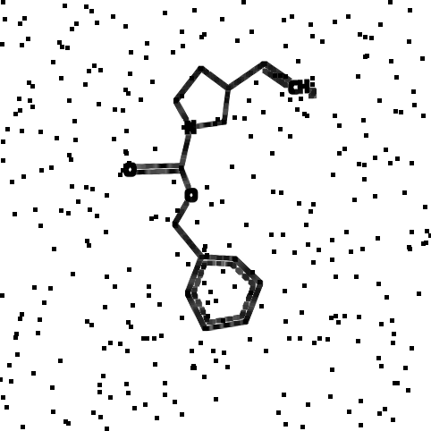 C=CC1CCN(C(=O)OCc2ccccc2)C1